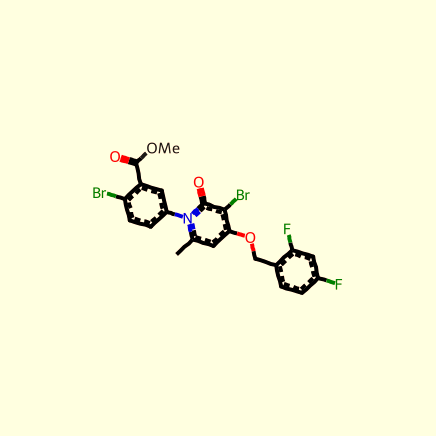 COC(=O)c1cc(-n2c(C)cc(OCc3ccc(F)cc3F)c(Br)c2=O)ccc1Br